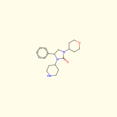 O=C1N(C2CCOCC2)CC(c2ccccc2)N1C1CCNCC1